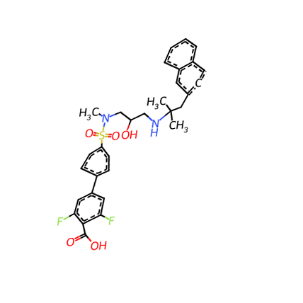 CN(CC(O)CNC(C)(C)Cc1ccc2ccccc2c1)S(=O)(=O)c1ccc(-c2cc(F)c(C(=O)O)c(F)c2)cc1